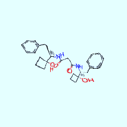 O=C(CC(=O)N[C@H](Cc1ccccc1)C1(O)CCC1)N[C@H](Cc1ccccc1)C1(O)CCC1